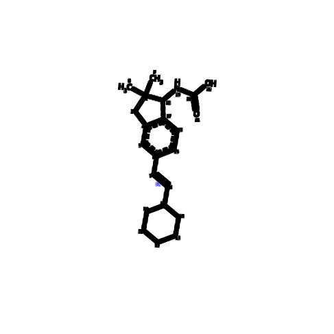 CC1(C)Cc2cc(/C=C/C3CCCCC3)ccc2C1NC(=O)O